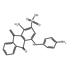 C=C1c2ccccc2C(=O)c2c(Nc3ccc(N)cc3)cc(S(=O)(=O)O)c(N)c21